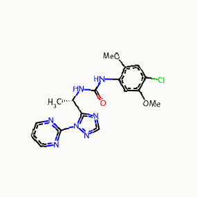 COc1cc(NC(=O)N[C@@H](C)c2ncnn2-c2ncccn2)c(OC)cc1Cl